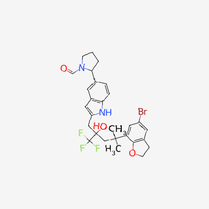 CC(C)(CC(O)(Cc1cc2cc(C3CCCN3C=O)ccc2[nH]1)C(F)(F)F)c1cc(Br)cc2c1OCC2